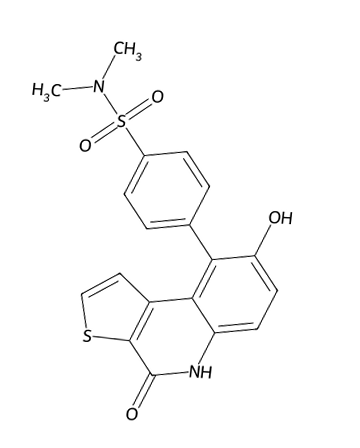 CN(C)S(=O)(=O)c1ccc(-c2c(O)ccc3[nH]c(=O)c4sccc4c23)cc1